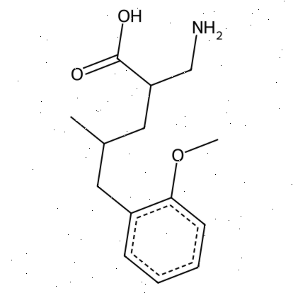 COc1ccccc1CC(C)CC(CN)C(=O)O